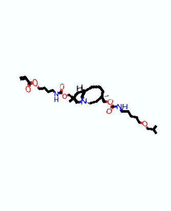 C=CC(=O)OCCCCNC(=O)OCC1(C)C[C@@H]2CCC[C@@](C)(COC(=O)NCCCCCOCC(C)C)CC[N@@](C2)C1